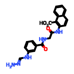 NN=CNc1cccc(C(=O)NCC(=O)Nc2ccc3ccccc3c2C(=O)O)c1